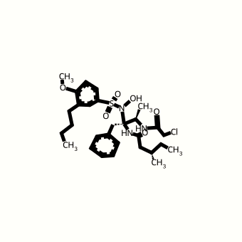 CCCCc1cc(S(=O)(=O)N(O)[C@](Cc2ccccc2)(NC(=O)C[C@@H](C)CC)[C@@H](C)NC(=O)CCl)ccc1OC